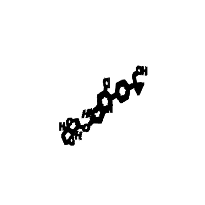 OCC1(c2ccc(-c3nc4cc(OC5CO[C@@H]6CCO[C@H]56)[nH]c4cc3Cl)cc2)CC1